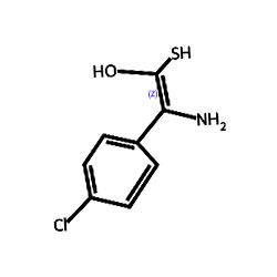 N/C(=C(/O)S)c1ccc(Cl)cc1